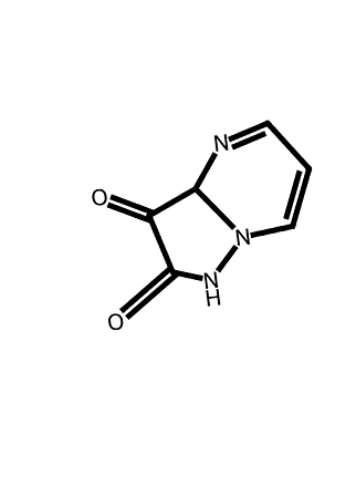 O=C1NN2C=CC=NC2C1=O